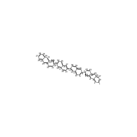 c1ccc2cc3nc(-c4ccc5cc(-c6ccc7cc(-c8ccc9cc%10ccccc%10cc9n8)ccc7c6)ccc5c4)ccc3cc2c1